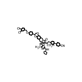 Cc1nc(NC2CCCC2)sc1S(=O)(=O)N1Cc2cc3c(cc2C[C@H]1C(=O)N[C@@H](Cc1ccc(-c2ccc(C#N)cc2)cc1)C(=O)O)OCC(c1ccc(OCc2ccc(Cl)c(Cl)c2)cc1)O3